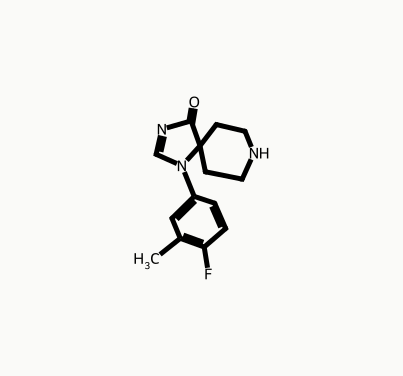 Cc1cc(N2C=NC(=O)C23CCNCC3)ccc1F